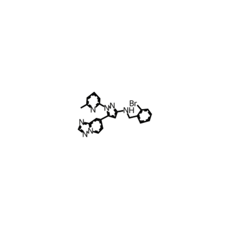 Cc1cccc(-n2nc(NCc3ccccc3Br)cc2-c2ccn3ncnc3c2)n1